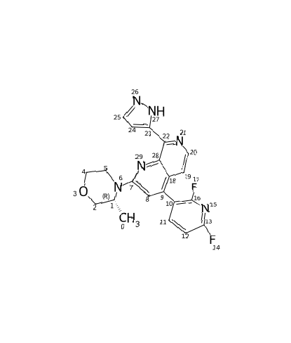 C[C@@H]1COCCN1c1cc(-c2ccc(F)nc2F)c2ccnc(-c3ccn[nH]3)c2n1